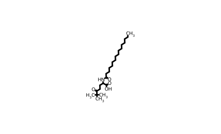 CCCCCCCCCCCCCCCC(=O)NC(CCC(=O)C(C)(C)C)C(=O)O